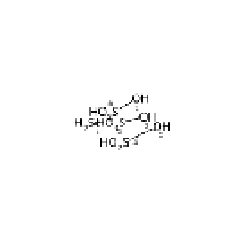 O=S(=O)(O)O.O=S(=O)(O)O.O=S(=O)(O)O.[SeH2]